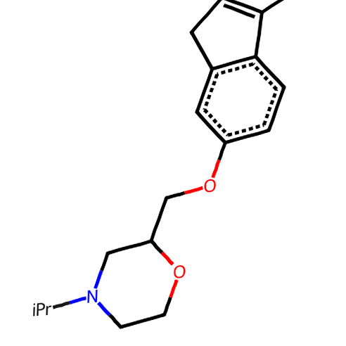 CC1=CCc2cc(OCC3CN(C(C)C)CCO3)ccc21